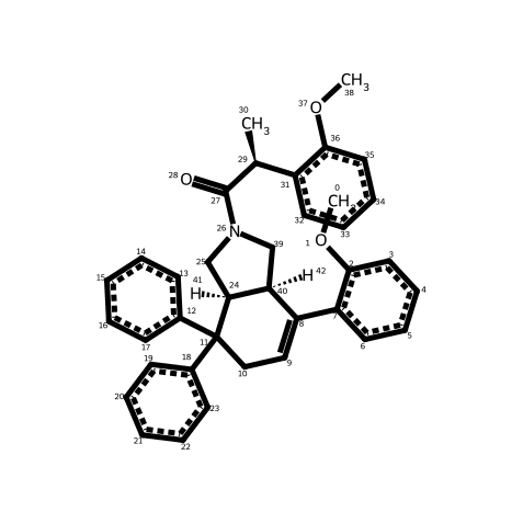 COc1ccccc1C1=CCC(c2ccccc2)(c2ccccc2)[C@H]2CN(C(=O)[C@@H](C)c3ccccc3OC)C[C@@H]12